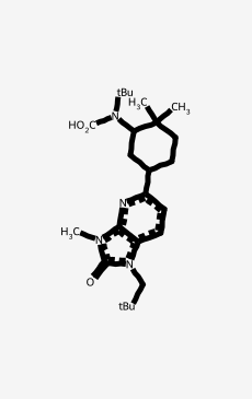 Cn1c(=O)n(CC(C)(C)C)c2ccc(C3CCC(C)(C)C(N(C(=O)O)C(C)(C)C)C3)nc21